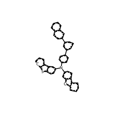 c1cc(-c2ccc(N(c3ccc4c(c3)oc3ccccc34)c3ccc4sc5ccccc5c4c3)cc2)cc(-c2ccc3ccccc3c2)c1